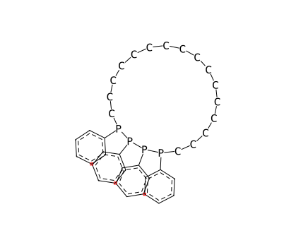 c1ccc(P2CCCCCCCCCCCCCCCCP(c3ccccc3)P(c3ccccc3)P2c2ccccc2)cc1